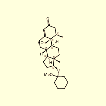 COC1(O[C@H]2CC[C@H]3[C@@H]4CCC5=CC(=O)C[C@@H](C)[C@]5(CO)[C@H]4CC[C@]23C)CCCCC1